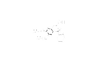 COc1cc(CCO)c(C(=O)C2CCCCC2)cc1OC